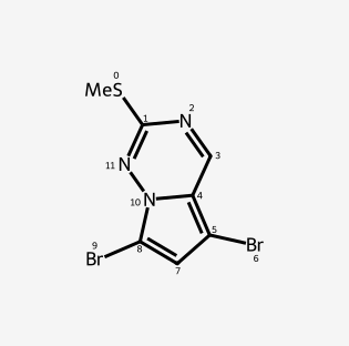 CSc1ncc2c(Br)cc(Br)n2n1